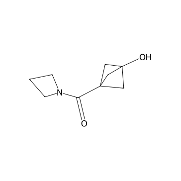 O=C(N1CCC1)C12CC(O)(C1)C2